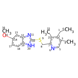 CCc1c(C)cnc(CSc2nc3cc(OC)ccc3[nH]2)c1C